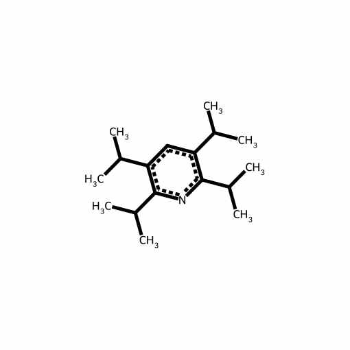 CC(C)c1cc(C(C)C)c(C(C)C)nc1C(C)C